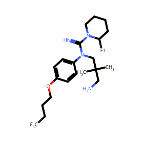 CCC1CCCCN1C(=N)N(CC(C)(C)CN)c1ccc(OCCCC(F)(F)F)cc1